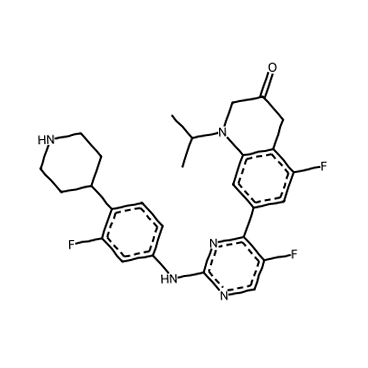 CC(C)N1CC(=O)Cc2c(F)cc(-c3nc(Nc4ccc(C5CCNCC5)c(F)c4)ncc3F)cc21